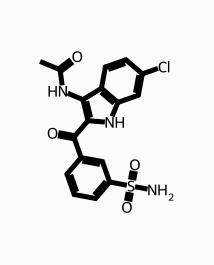 CC(=O)Nc1c(C(=O)c2cccc(S(N)(=O)=O)c2)[nH]c2cc(Cl)ccc12